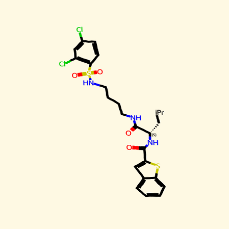 CC(C)C[C@H](NC(=O)c1cc2ccccc2s1)C(=O)NCCCCNS(=O)(=O)c1ccc(Cl)cc1Cl